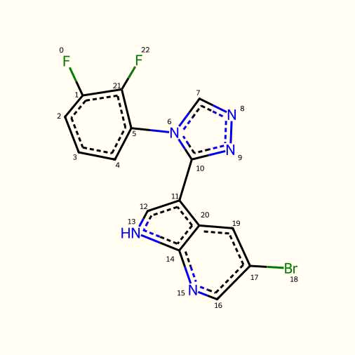 Fc1cccc(-n2cnnc2-c2c[nH]c3ncc(Br)cc23)c1F